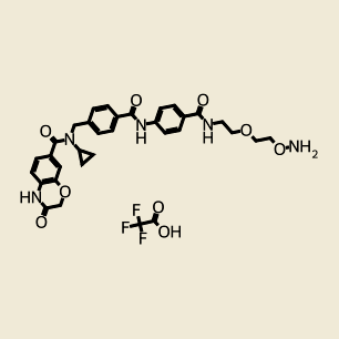 NOCCOCCNC(=O)c1ccc(NC(=O)c2ccc(CN(C(=O)c3ccc4c(c3)OCC(=O)N4)C3CC3)cc2)cc1.O=C(O)C(F)(F)F